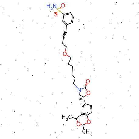 CC1Oc2ccc([C@@H]3CN(CCCCCCOCCC#Cc4cccc(S(N)(=O)=O)c4)C(=O)O3)cc2C(C)O1